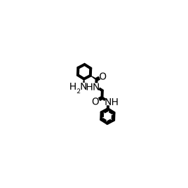 N[C@H]1CCCC[C@H]1C(=O)NCC(=O)Nc1ccccc1